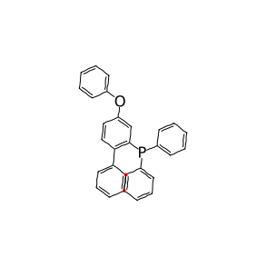 c1ccc(Oc2ccc(-c3ccccc3)c(P(c3ccccc3)c3ccccc3)c2)cc1